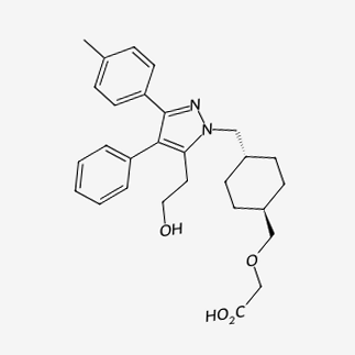 Cc1ccc(-c2nn(C[C@H]3CC[C@H](COCC(=O)O)CC3)c(CCO)c2-c2ccccc2)cc1